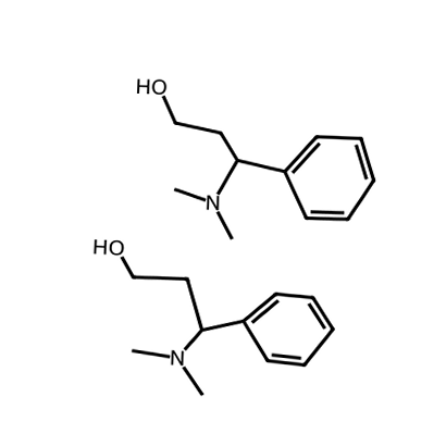 CN(C)C(CCO)c1ccccc1.CN(C)C(CCO)c1ccccc1